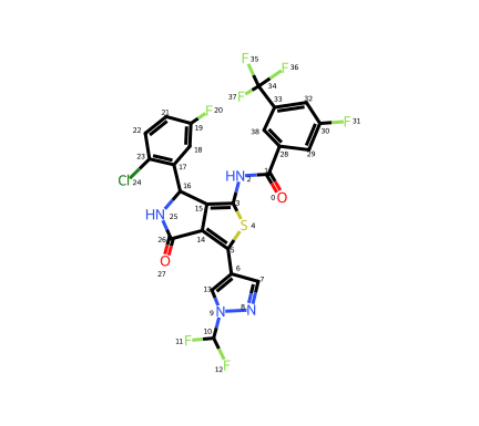 O=C(Nc1sc(-c2cnn(C(F)F)c2)c2c1C(c1cc(F)ccc1Cl)NC2=O)c1cc(F)cc(C(F)(F)F)c1